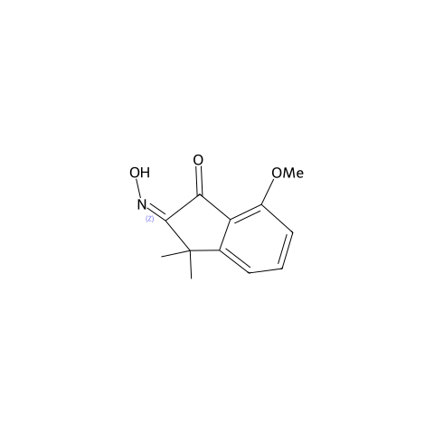 COc1cccc2c1C(=O)/C(=N\O)C2(C)C